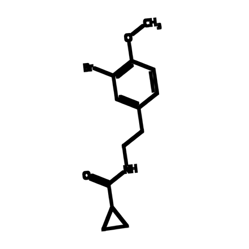 COc1ccc(CCNC(=O)C2CC2)cc1Br